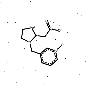 O=[N+]([O-])CC1NCCN1Cc1ccc[n+]([O-])c1